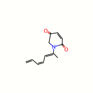 C=C/C=C\C=C(/C)N1CC(=O)C=CC1=O